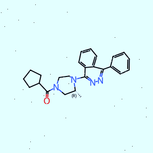 C[C@@H]1CN(C(=O)C2CCCC2)CCN1c1nnc(-c2ccccc2)c2ccccc12